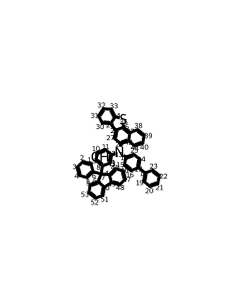 Cc1ccccc1C1(c2cccc(N(c3ccc(-c4ccccc4)cc3)c3cc4c5ccccc5sc4c4ccccc34)c2)c2ccccc2-c2ccccc21